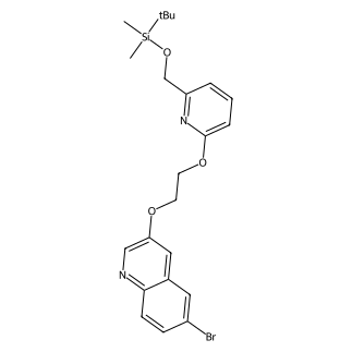 CC(C)(C)[Si](C)(C)OCc1cccc(OCCOc2cnc3ccc(Br)cc3c2)n1